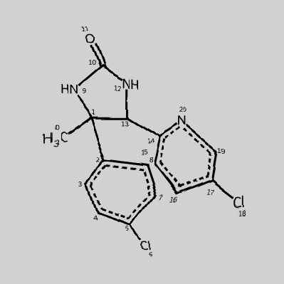 CC1(c2ccc(Cl)cc2)NC(=O)NC1c1ccc(Cl)cn1